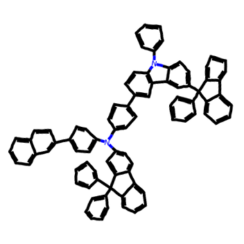 c1ccc(-n2c3ccc(-c4ccc(N(c5ccc(-c6ccc7ccccc7c6)cc5)c5ccc6c(c5)C(c5ccccc5)(c5ccccc5)c5ccccc5-6)cc4)cc3c3cc(C4(c5ccccc5)c5ccccc5-c5ccccc54)ccc32)cc1